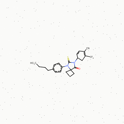 N#CC1=C(C(F)(F)F)CC(N2C(=O)C3(CCC3)N(c3ccc(CCCC(=O)O)cc3)C2=S)C=C1